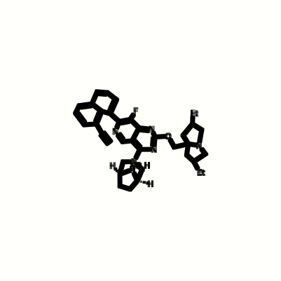 C#Cc1cccc2cccc(-c3ncc4c(N5C[C@H]6CC[C@@H](C5)N6C(=O)O)nc(OCC56CC(CC)CN5CC(CC)C6)nc4c3F)c12